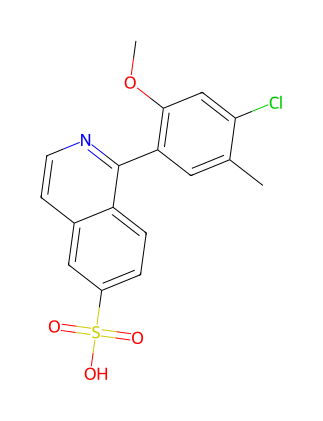 COc1cc(Cl)c(C)cc1-c1nccc2cc(S(=O)(=O)O)ccc12